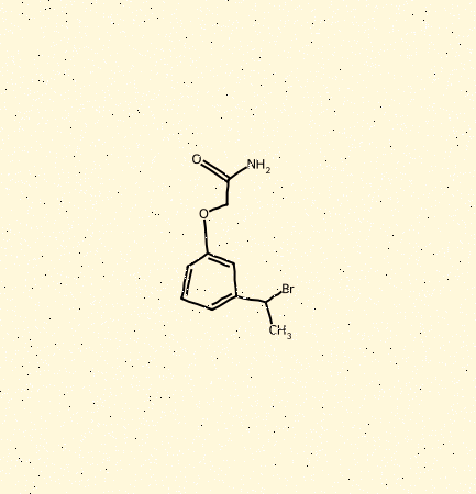 CC(Br)c1cccc(OCC(N)=O)c1